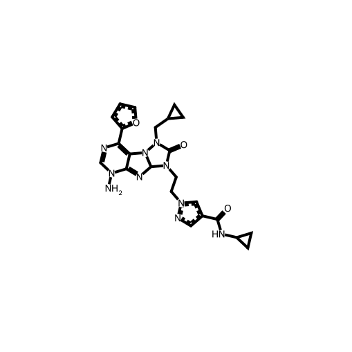 NN1C=NC(c2ccco2)=C2C1=NC1N(CCn3cc(C(=O)NC4CC4)cn3)C(=O)N(CC3CC3)N21